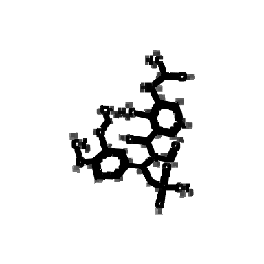 CCOc1cc(C(CS(C)(=O)=O)N(C=O)C(=O)c2cncc(NC(C)=O)c2C)ccc1OC